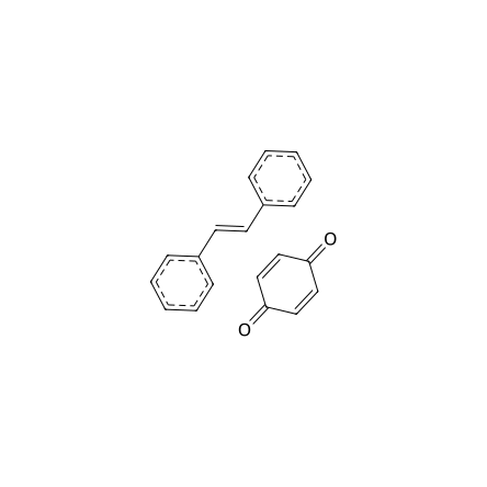 C(=Cc1ccccc1)c1ccccc1.O=C1C=CC(=O)C=C1